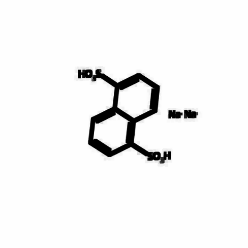 O=S(=O)(O)c1cccc2c(S(=O)(=O)O)cccc12.[Na].[Na]